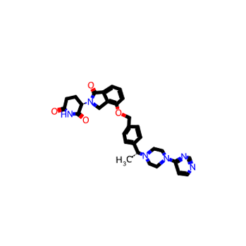 C[C@H](c1ccc(COc2cccc3c2CN([C@H]2CCC(=O)NC2=O)C3=O)cc1)N1CCN(c2ccncn2)CC1